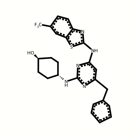 O[C@H]1CC[C@H](Nc2nc(Cc3ccccc3)cc(Nc3nc4ccc(C(F)(F)F)cc4s3)n2)CC1